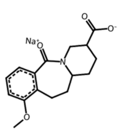 COc1cccc2c1CCC1CCC(C(=O)[O-])CN1C2=O.[Na+]